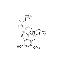 COc1cc(O)c2c3c1C[C@@H]1[C@@H]4CC[C@@H](NC(C)CC(=O)O)[C@H](O2)[C@]34CCN1CC1CC1